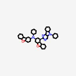 c1ccc(N(c2cc(-c3ncc4c(n3)c3ccccc3n4-c3ccccc3)c3c(c2)oc2ccccc23)c2ccc3oc4ccccc4c3c2)cc1